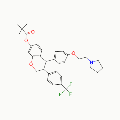 CC(C)(C)C(=O)Oc1ccc2c(c1)OCC(c1ccc(C(F)(F)F)cc1)C2c1ccc(OCCN2CCCC2)cc1